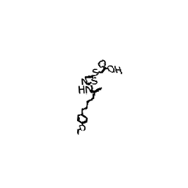 C=C(CCCCc1ccc(OCC)cc1)Nc1ncc(SCC(=O)O)s1